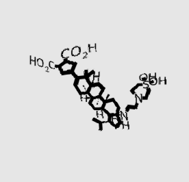 C=C(C)[C@@H]1CC[C@]2(NCCN3CCS(O)(O)CC3)CC[C@]3(C)[C@H](CC[C@@H]4[C@@]5(C)CC=C(C6=CC(C(=O)O)C(C(=O)O)C6)C(C)(C)[C@@H]5CC[C@]43C)[C@@H]12